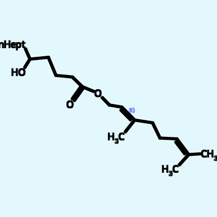 CCCCCCCC(O)CCCC(=O)OC/C=C(\C)CCC=C(C)C